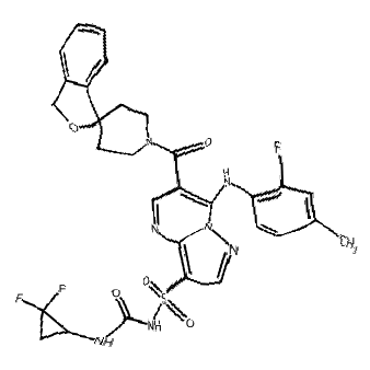 Cc1ccc(Nc2c(C(=O)N3CCC4(CC3)OCc3ccccc34)cnc3c(S(=O)(=O)NC(=O)NC4CC4(F)F)cnn23)c(F)c1